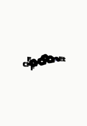 CC/C=C/[C@H]1CCc2c(ccc3c2CC[C@H](c2cc(F)c(Cl)c(F)c2)C3)C1